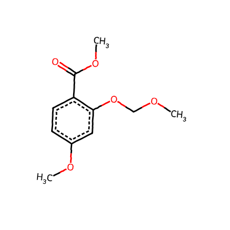 COCOc1cc(OC)ccc1C(=O)OC